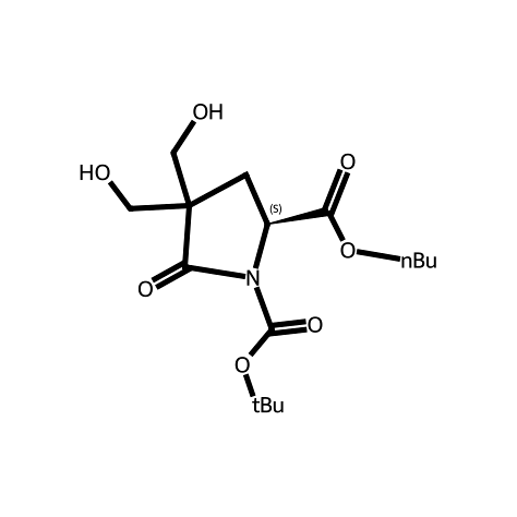 CCCCOC(=O)[C@@H]1CC(CO)(CO)C(=O)N1C(=O)OC(C)(C)C